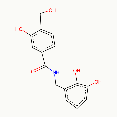 O=C(NCc1cccc(O)c1O)c1ccc(CO)c(O)c1